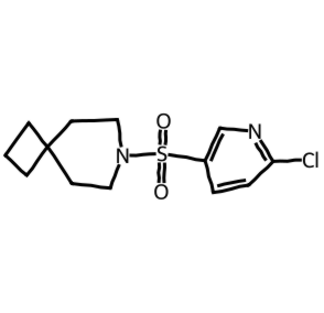 O=S(=O)(c1ccc(Cl)nc1)N1CCC2(CCC2)CC1